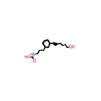 O=C(O)NCCCc1cccc(C#CCCCCO)c1